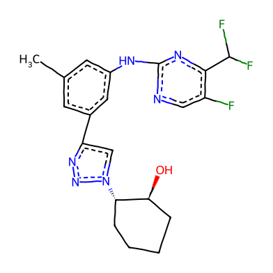 Cc1cc(Nc2ncc(F)c(C(F)F)n2)cc(-c2cn([C@H]3CCCC[C@@H]3O)nn2)c1